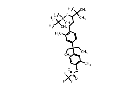 CCC(CC)(c1ccc(CCC(O[Si](C)(C)C(C)(C)C)C(C)(C)C)c(C)c1)c1ccc(OS(=O)(=O)C(F)(F)F)c(C)c1